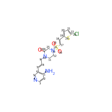 Nc1ccncc1/C=C/CN1CCN(S(=O)(=O)/C=C/c2ccc(Cl)s2)CC1=O